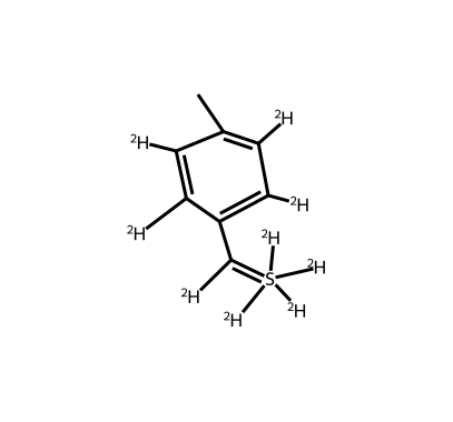 [2H]C(c1c([2H])c([2H])c(C)c([2H])c1[2H])=S([2H])([2H])([2H])[2H]